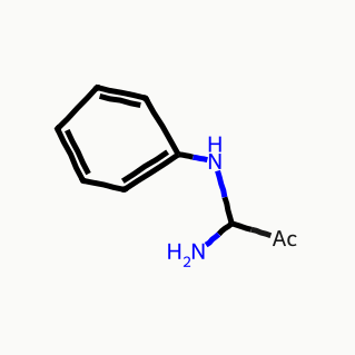 CC(=O)C(N)Nc1ccccc1